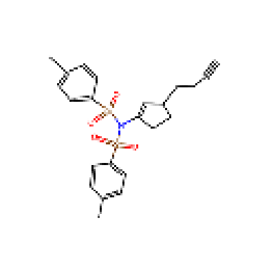 C#CCCC1C=C(N(S(=O)(=O)c2ccc(C)cc2)S(=O)(=O)c2ccc(C)cc2)CC1